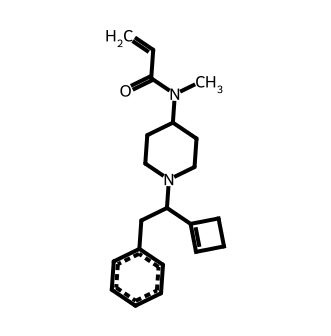 C=CC(=O)N(C)C1CCN(C(Cc2ccccc2)C2=CCC2)CC1